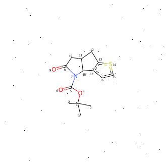 CC(C)(C)OC(=O)N1C(=O)CC2Cc3sccc3C21